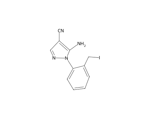 N#Cc1cnn(-c2ccccc2CI)c1N